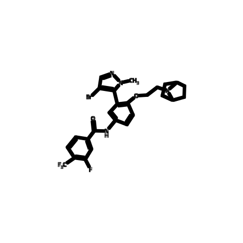 Cn1ncc(Br)c1-c1cc(NC(=O)c2ccc(C(F)(F)F)c(F)c2)ccc1OCCN1C2CCC1CC2